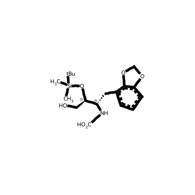 CC(C)(C)[Si](C)(C)O[C@H](CO)[C@H](Cc1cccc2c1OCO2)NC(=O)O